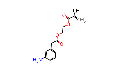 C=C(C)C(=O)OCCOC(=O)Cc1cccc(N)c1